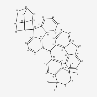 CC1(C)CCC(C)(C)c2cc(N(c3cccc4c3-c3ccccc3C43C4CC5CC6CC3C64C5)c3cccc4oc5ccccc5c34)ccc21